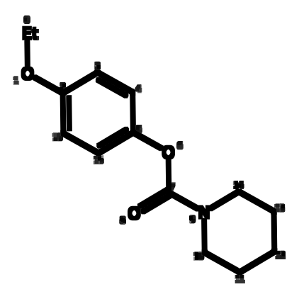 CCOc1ccc(OC(=O)N2CCCCC2)cc1